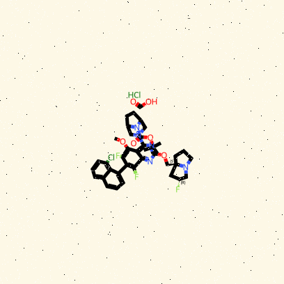 COc1c(F)c(-c2cccc3cccc(Cl)c23)c(F)c2nc(OC[C@@]34CCCN3C[C@H](F)C4)nc(N3CC4CCC(C3)N4C(=O)OC(C)(C)C)c12.Cl.O=CO